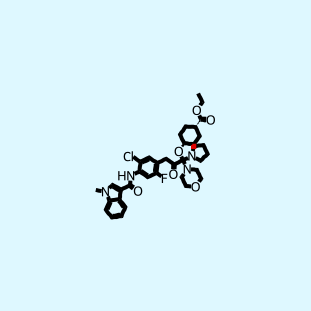 CCOC(=O)[C@H]1CC[C@H](OC(C(=O)Cc2cc(Cl)c(NC(=O)c3cn(C)c4ccccc34)cc2F)(N2CCCC2)N2CCOCC2)CC1